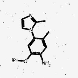 Cc1cc(N)c(OC(C)C)cc1-n1ccnc1C